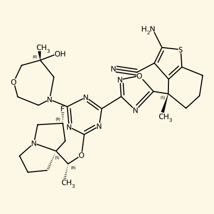 C[C@@H](Oc1nc(-c2noc([C@@]3(C)CCCc4sc(N)c(C#N)c43)n2)nc(N2CCOC[C@](C)(O)C2)n1)[C@@]12CCCN1C[C@H](F)C2